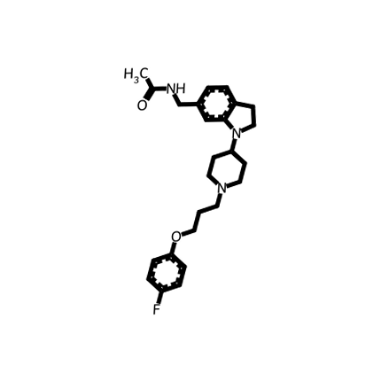 CC(=O)NCc1ccc2c(c1)N(C1CCN(CCCOc3ccc(F)cc3)CC1)CC2